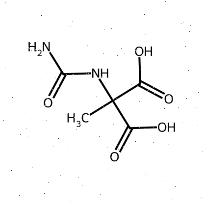 CC(NC(N)=O)(C(=O)O)C(=O)O